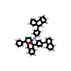 c1ccc(-c2ccc(N(c3ccc(-c4cc5ccccc5c5ccccc45)cc3)c3cc(-c4cccc5ccccc45)ccc3-c3cccc4ccccc34)cc2)cc1